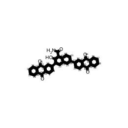 NC(=O)c1c(O)c(-c2ccc3c(c2)C(=O)c2ccccc2C3=O)cc2cc(-c3ccc4c(c3)C(=O)c3ccccc3C4=O)ccc12